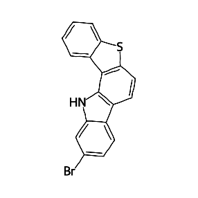 Brc1ccc2c(c1)[nH]c1c2ccc2sc3ccccc3c21